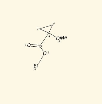 CCOC(=O)C1(OC)CC1